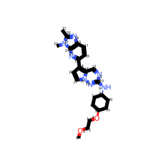 COCCO[C@H]1CC[C@H](Nc2ncc3c(-c4ccc5nc(C)n(C)c5n4)ccn3n2)CC1